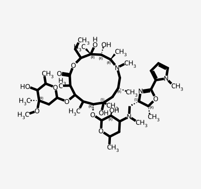 CCC1OC(=O)C(C)C(OC2C[C@@](C)(OC)C(O)C(C)O2)C(C)[C@@H](OC2OC(C)CC(N(C)C[C@@H]3N=C(c4cccn4C)O[C@@H]3C)[C@H]2O)[C@@](C)(O)C[C@@H](C)CN(C)[C@H](C)[C@@H](O)[C@@]1(C)O